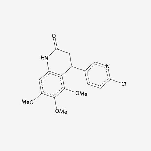 COc1cc2c(c(OC)c1OC)C(c1ccc(Cl)nc1)CC(=O)N2